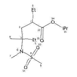 CCC(CC(C)(CC)N(C)S(C)(=O)=O)C(=O)OC(C)C